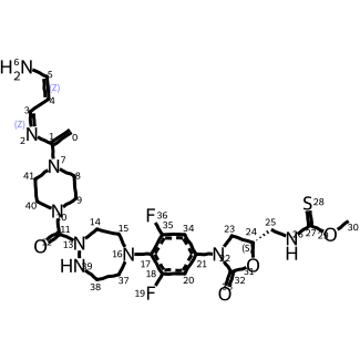 C=C(/N=C\C=C/N)N1CCN(C(=O)N2CCN(c3c(F)cc(N4C[C@H](CNC(=S)OC)OC4=O)cc3F)CCN2)CC1